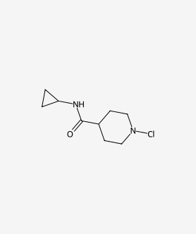 O=C(NC1CC1)C1CCN(Cl)CC1